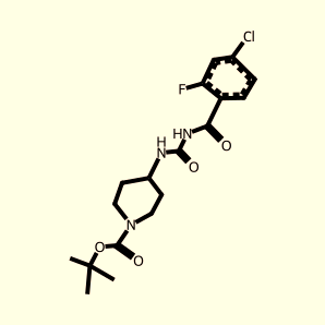 CC(C)(C)OC(=O)N1CCC(NC(=O)NC(=O)c2ccc(Cl)cc2F)CC1